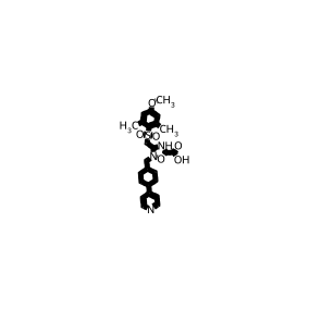 COc1cc(C)c(S(=O)(=O)CC2NC(C(=O)O)ON2CC2CCC(c3ccncc3)CC2)c(C)c1